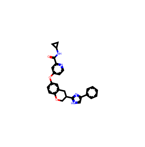 O=C(NC1CC1)c1cc(Oc2ccc3c(c2)CC(c2nc(-c4ccccc4)c[nH]2)CO3)ccn1